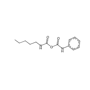 CCCCCNC(=O)OC(=O)Nc1ccccc1